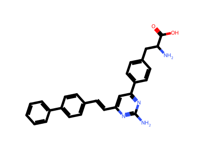 Nc1nc(C=Cc2ccc(-c3ccccc3)cc2)cc(-c2ccc(CC(N)C(=O)O)cc2)n1